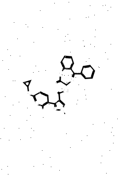 CCn1cc(C(=O)N[C@H]2N=C(c3ccccc3)c3ccccc3NC2=O)c(-c2ccc(NC3CC3)nc2F)n1